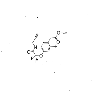 C#CCN1C(=O)C(F)(F)Oc2cc(F)c(CC(=O)OC#C)cc21